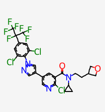 O=C(c1cc(-c2cnn(-c3c(Cl)cc(C(F)(C(F)(F)F)C(F)(F)F)cc3Cl)c2)cnc1Cl)N(CCC1COC1)C1CC1